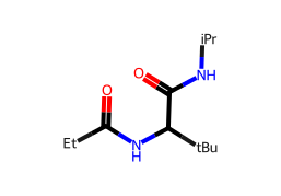 CCC(=O)NC(C(=O)NC(C)C)C(C)(C)C